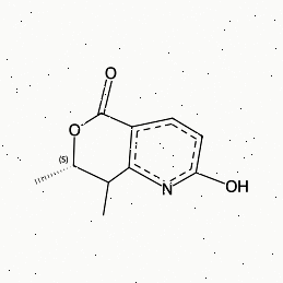 CC1c2nc(O)ccc2C(=O)O[C@H]1C